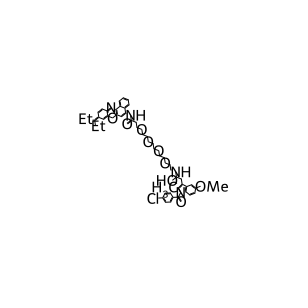 CCC(CC)=c1ccc2c(c1)Oc1cc(NC(=O)CCOCCOCCOCCOCCNC(O)Cc3c(C)n(C(=O)c4ccc(Cl)cc4)c4ccc(OC)cc34)c3ccccc3c1N=2